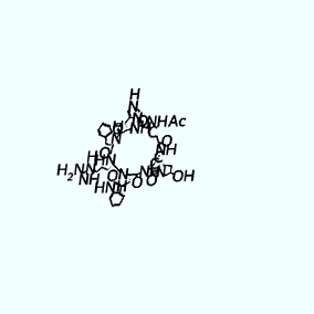 CC(=O)N[C@H]1CCC(=O)NCC[C@@H](C(=O)N2C[C@H](O)C[C@H]2C)NC(=O)[C@H](Cc2c[nH]c3ccccc23)NC(=O)[C@H](CCCNC(=N)N)NC(=O)[C@@H](Cc2ccccc2)NC(=O)[C@H](Cc2c[nH]cn2)NC1=O